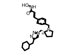 O=C(C=Cc1ccc(CN2CCC[C@@H]2Cn2cc(CC3CCCCC3)nn2)cc1)NO